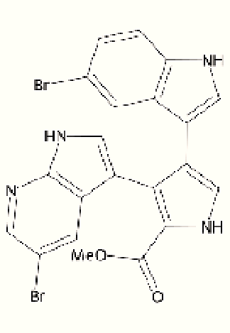 COC(=O)c1[nH]cc(-c2c[nH]c3ccc(Br)cc23)c1-c1c[nH]c2ncc(Br)cc12